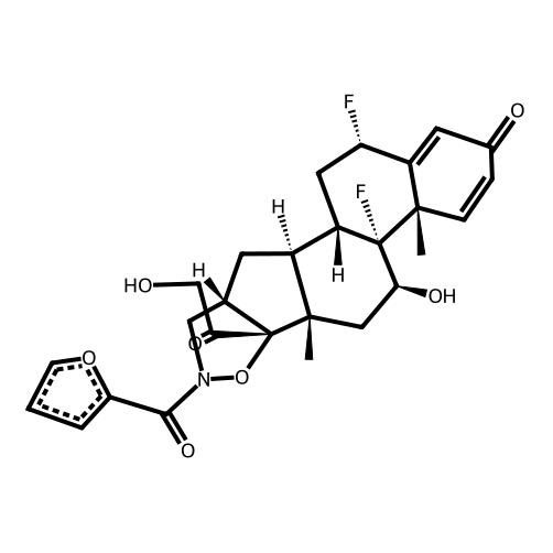 C[C@]12C=CC(=O)C=C1[C@@H](F)C[C@H]1[C@@H]3C[C@H]4CN(C(=O)c5ccco5)O[C@@]4(C(=O)CO)[C@@]3(C)C[C@H](O)[C@@]12F